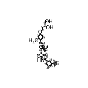 Cc1cc(OCCC(O)CO)ccc1C=CS(=O)(=O)N1CCC2(CC1)N=C(c1cccc(C(F)(F)F)c1)NC2=O